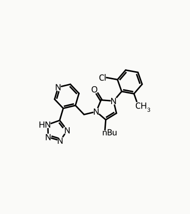 CCCCc1cn(-c2c(C)cccc2Cl)c(=O)n1Cc1ccncc1-c1nnn[nH]1